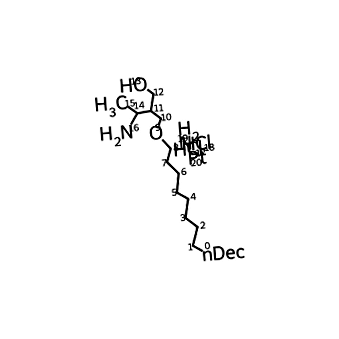 CCCCCCCCCCCCCCCCCCOCC(CO)C(C)N.Cl.Cl.[NH2][Pt]